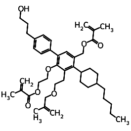 C=C(C)COCCc1c(OCCOC(=O)C(=C)C)c(-c2ccc(CCCO)cc2)cc(COC(=O)C(=C)C)c1C1CCC(CCCCC)CC1